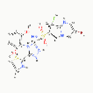 COc1cccc(OC)c1-n1c(NS(=O)(=O)[C@H](C)[C@](C)(F)c2ncc(Br)cn2)nnc1-c1nc(C)cs1